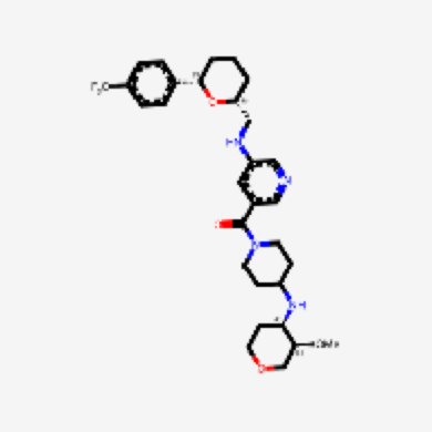 CO[C@H]1COCC[C@H]1NC1CCN(C(=O)c2cncc(NC[C@H]3CCC[C@@H](c4ccc(C(F)(F)F)cc4)O3)c2)CC1